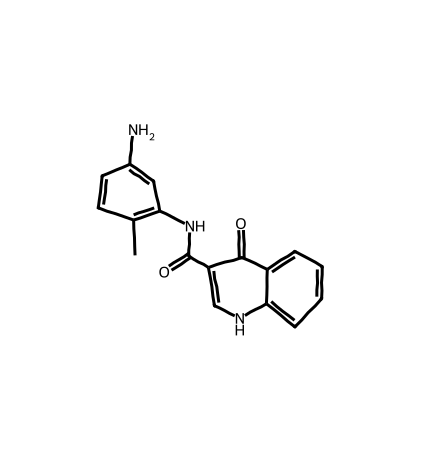 Cc1ccc(N)cc1NC(=O)c1c[nH]c2ccccc2c1=O